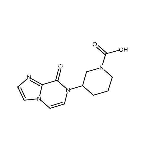 O=C(O)N1CCCC(n2ccn3ccnc3c2=O)C1